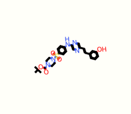 CC(C)(C)OC(=O)N1CCN(S(=O)(=O)c2ccc(Nc3cnc(C=Cc4cccc(O)c4)cn3)cc2)CC1